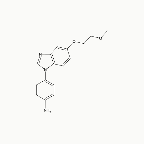 COCCOc1ccc2c(c1)ncn2-c1ccc(N)cc1